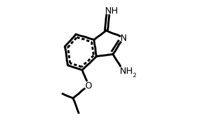 CC(C)Oc1cccc2c1C(N)=NC2=N